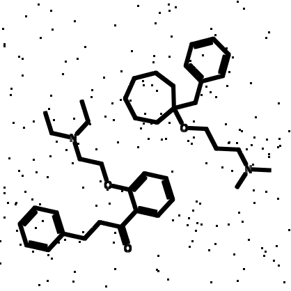 CCN(CC)CCOc1ccccc1C(=O)CCc1ccccc1.CN(C)CCCOC1(Cc2ccccc2)CCCCCC1